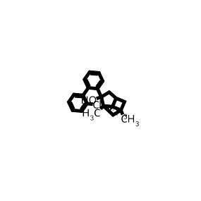 CC12CC3CC(O)(c4ccccc4-c4ccccc4Cl)C(C)(C1)[C@]32C